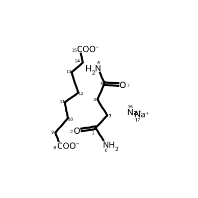 NC(=O)CCC(N)=O.O=C([O-])CCCCCCC(=O)[O-].[Na+].[Na+]